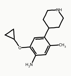 Cc1cc(N)c(OC2CC2)cc1C1CCNCC1